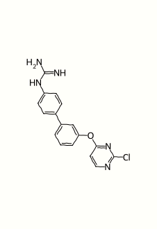 N=C(N)Nc1ccc(-c2cccc(Oc3ccnc(Cl)n3)c2)cc1